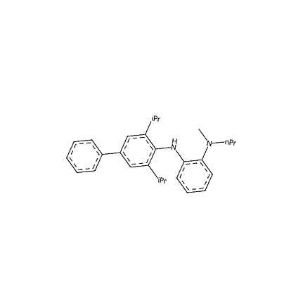 CCCN(C)c1ccccc1Nc1c(C(C)C)cc(-c2ccccc2)cc1C(C)C